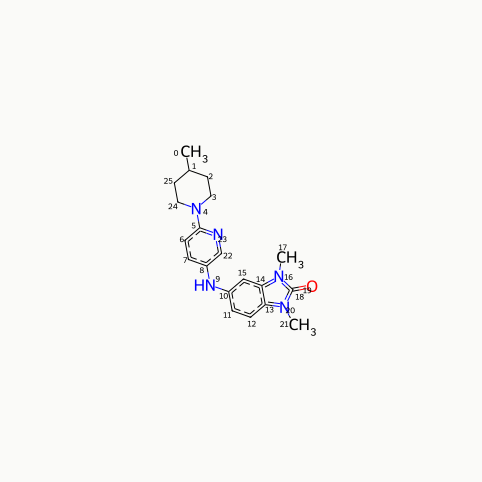 CC1CCN(c2ccc(Nc3ccc4c(c3)n(C)c(=O)n4C)cn2)CC1